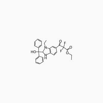 CCOC(=O)C(F)(F)C(=O)c1ccc2c(c1)N(CC)C(C(O)(c1ccccc1)c1ccccc1)N2